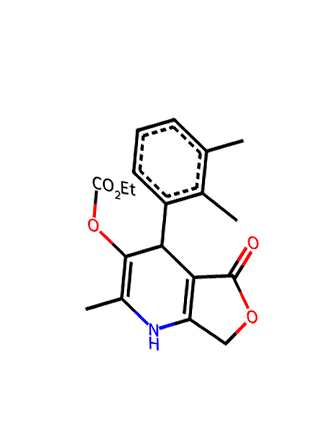 CCOC(=O)OC1=C(C)NC2=C(C(=O)OC2)C1c1cccc(C)c1C